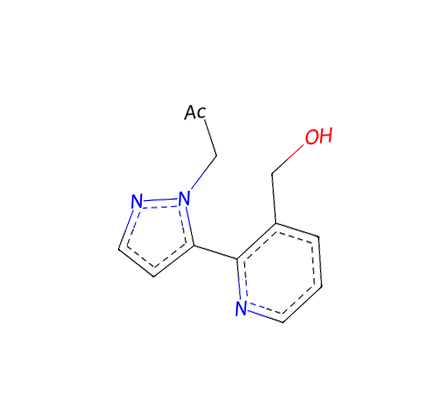 CC(=O)Cn1nccc1-c1ncccc1CO